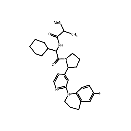 CNC(C)C(=O)NC(C(=O)N1CCCC1c1ccnc(N2CCCc3cc(F)ccc32)c1)C1CCCCC1